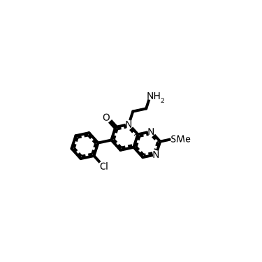 CSc1ncc2cc(-c3ccccc3Cl)c(=O)n(CCN)c2n1